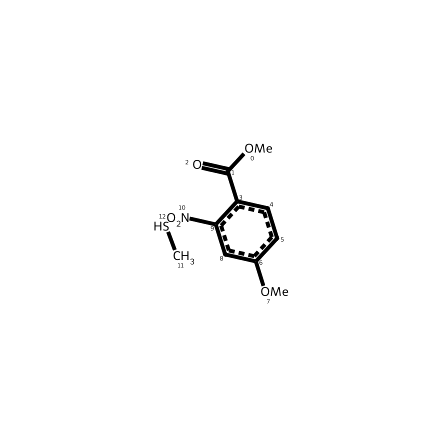 COC(=O)c1ccc(OC)cc1[N+](=O)[O-].CS